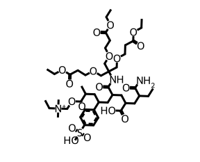 CCOC(=O)CCOCC(COCCC(=O)OCC)(COCCC(=O)OCC)NC(=O)C(CC(CC(CC)C(N)=O)C(=O)O)CC(CC(C)C(=O)OC[N+](C)(C)CC)c1ccc(S(=O)(=O)O)cc1